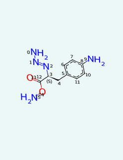 NN=N[C@@H](Cc1ccc(N)cc1)C(=O)ON